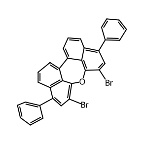 Brc1cc(-c2ccccc2)c2cccc3c4cccc5c(-c6ccccc6)cc(Br)c(oc1c23)c54